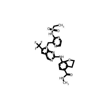 CCS(=O)(=O)Nc1nccnc1Cn1c(C(F)(F)F)cc2cnc(Nc3ccc(C(=O)NC)c4c3OCC4)nc21